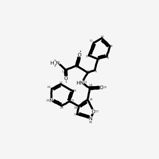 NC(=O)C(=O)C(Cc1ccccc1)NC(=O)c1oncc1-c1cccnc1